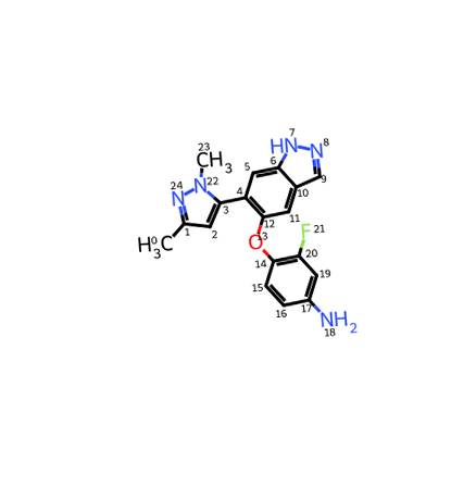 Cc1cc(-c2cc3[nH]ncc3cc2Oc2ccc(N)cc2F)n(C)n1